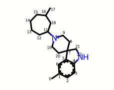 Cc1ccc2c(c1)C1(CCN(C3CCCCC(C)C3)CC1)CN2